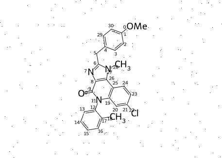 COc1ccc(Cc2nc3c(=O)n(-c4ccccc4C)c4cc(Cl)ccc4c3n2C)cc1